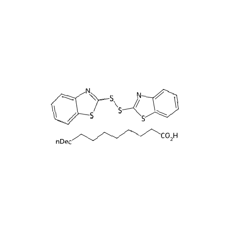 CCCCCCCCCCCCCCCCCC(=O)O.c1ccc2sc(SSc3nc4ccccc4s3)nc2c1